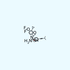 CN/C(N)=N\[C@@](C=O)(c1cccc(C#CC(C)C)c1)c1ccc(OC(F)F)c(C2CC2)c1